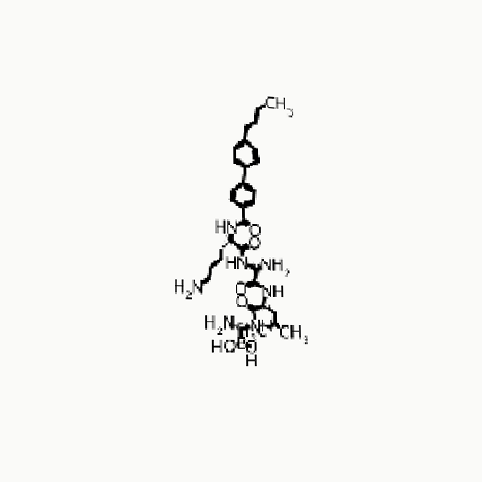 CCCCc1ccc(-c2ccc(C(=O)N[C@@H](CCCCN)C(=O)N[C@@H](N)C(=O)N[C@@H](CC(C)C)C(=O)N[C@@H](N)B(O)O)cc2)cc1